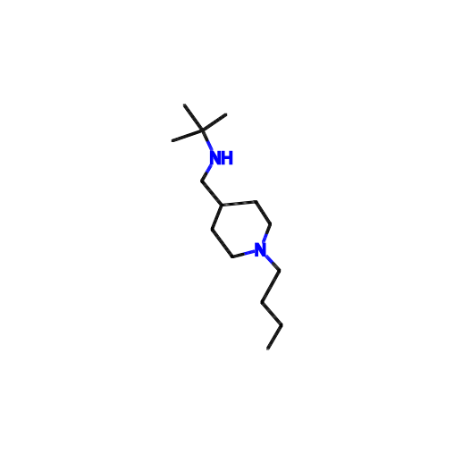 CCCCN1CCC(CNC(C)(C)C)CC1